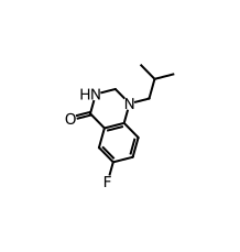 CC(C)CN1CNC(=O)c2cc(F)ccc21